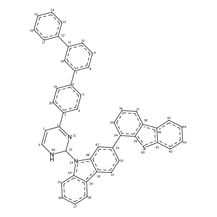 C1=CC(c2ccc(-c3cccc(-c4ccccc4)c3)cc2)=NC(n2c3ccccc3c3ccc(-c4cccc5c4sc4ccccc45)cc32)N1